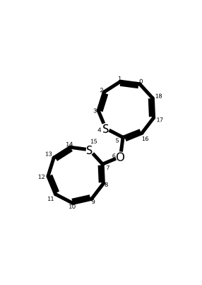 c1cccsc(Oc2cccccccs2)ccc1